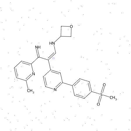 Cc1cccc(C(=N)/C(=C\NC2COC2)c2ccnc(-c3ccc(S(C)(=O)=O)cc3)c2)n1